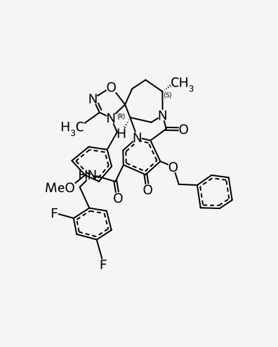 COc1ccc(CN2C(C)=NOC23CC[C@H](C)N2C[C@H]3n3cc(C(=O)NCc4ccc(F)cc4F)c(=O)c(OCc4ccccc4)c3C2=O)cc1